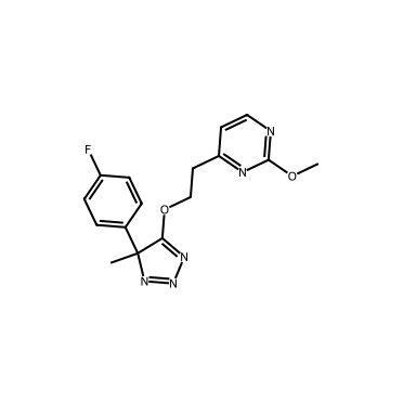 COc1nccc(CCOC2=NN=NC2(C)c2ccc(F)cc2)n1